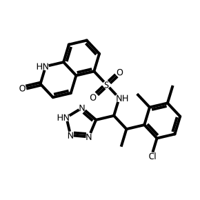 Cc1ccc(Cl)c(C(C)C(NS(=O)(=O)c2cccc3[nH]c(=O)ccc23)c2nn[nH]n2)c1C